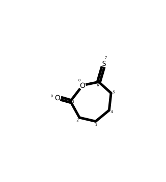 O=C1CCCCC(=S)O1